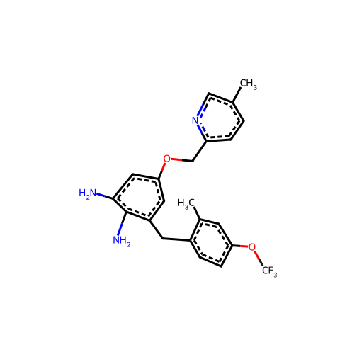 Cc1ccc(COc2cc(N)c(N)c(Cc3ccc(OC(F)(F)F)cc3C)c2)nc1